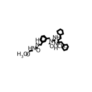 COCCNC(=O)NCc1cccc(CN(C=O)C(=N)N[C@](C)(CCC2CCCCC2)CC2CCCCC2)c1